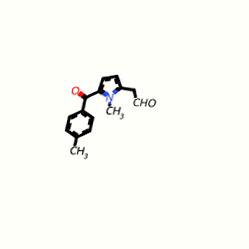 Cc1ccc(C(=O)c2ccc(CC=O)n2C)cc1